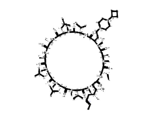 C/C=C/C[C@@H](C)[C@@H](O)[C@H]1C(=O)N[C@@H](CC)C(=O)N(C)[C@H](C)C(=O)N(C)C([C@@H](C)CN2CCN(C3CCC3)CC2)C(=O)N[C@@H](C(C)C)C(=O)N(C)[C@@H](CC(C)C)C(=O)N[C@@H](C)C(=O)N[C@H](C)C(=O)N(C)[C@@H](CC(C)C)C(=O)N(C)[C@@H](CC(C)C)C(=O)N(C)[C@@H](C(C)C)C(=O)N1C